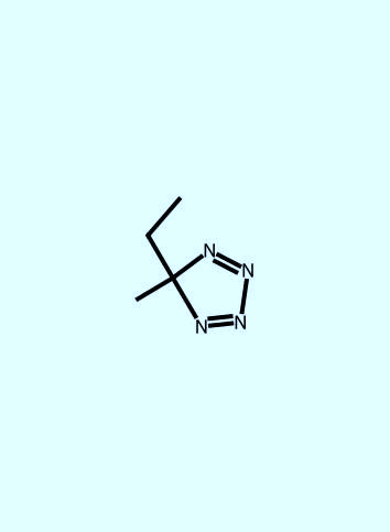 CCC1(C)N=NN=N1